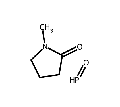 CN1CCCC1=O.O=P